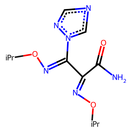 CC(C)O/N=C(C(N)=O)/C(=N/OC(C)C)n1cncn1